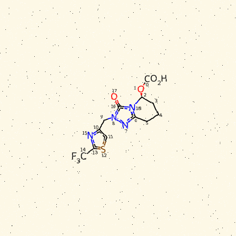 O=C(O)O[C@H]1CCCc2nn(Cc3csc(C(F)(F)F)n3)c(=O)n21